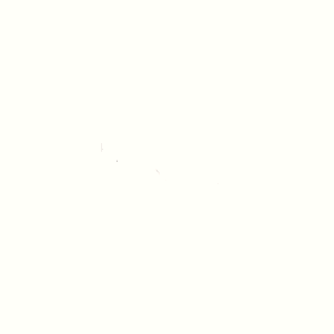 CCC(Cl)/C=C/CC(Cl)(Cl)Cl